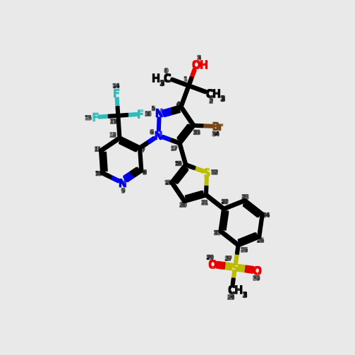 CC(C)(O)c1nn(-c2cnccc2C(F)(F)F)c(-c2ccc(-c3cccc(S(C)(=O)=O)c3)s2)c1Br